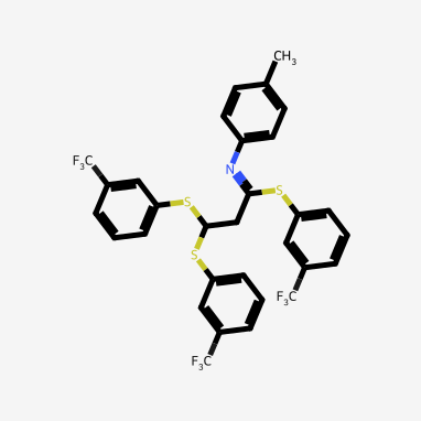 Cc1ccc(N=C(CC(Sc2cccc(C(F)(F)F)c2)Sc2cccc(C(F)(F)F)c2)Sc2cccc(C(F)(F)F)c2)cc1